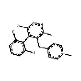 Cc1ccc(Cc2c(C)nnc(Cl)c2-c2c(F)cccc2Cl)cc1